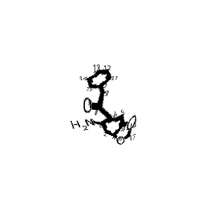 Nc1cc2c(cc1C(=O)Cc1ccccc1)OCO2